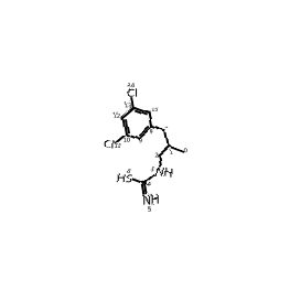 CC(CNC(=N)S)Cc1cc(Cl)cc(Cl)c1